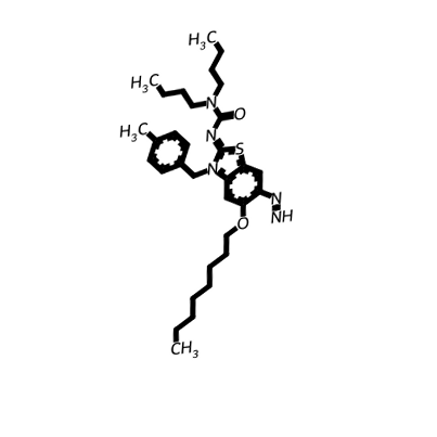 CCCCCCCCOc1cc2c(cc1N=N)sc(=NC(=O)N(CCCC)CCCC)n2Cc1ccc(C)cc1